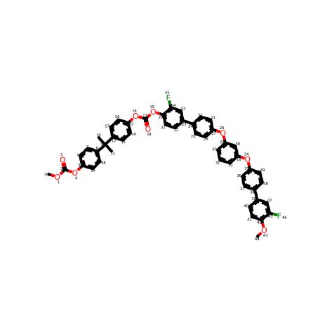 COC(=O)Oc1ccc(C(C)(C)c2ccc(OC(=O)Oc3ccc(-c4ccc(Oc5cccc(Oc6ccc(-c7ccc(OC)c(F)c7)cc6)c5)cc4)cc3F)cc2)cc1